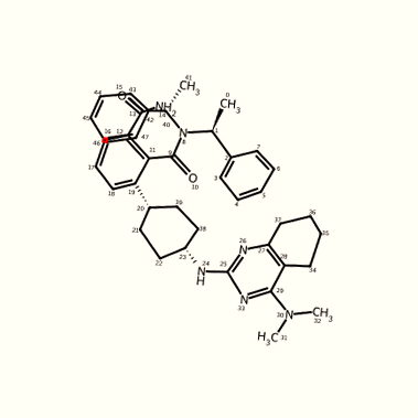 C[C@@H](c1ccccc1)N(C(=O)c1c(C(N)=O)cccc1[C@H]1CC[C@@H](Nc2nc3c(c(N(C)C)n2)CCCC3)CC1)[C@@H](C)c1ccccc1